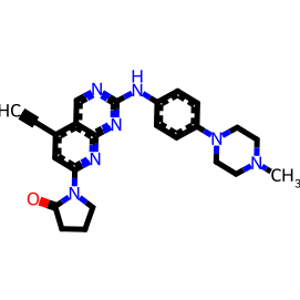 C#Cc1cc(N2CCCC2=O)nc2nc(Nc3ccc(N4CCN(C)CC4)cc3)ncc12